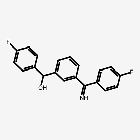 N=C(c1ccc(F)cc1)c1cccc(C(O)c2ccc(F)cc2)c1